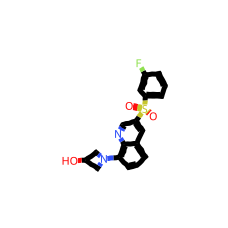 O=S(=O)(c1cccc(F)c1)c1cnc2c(N3CC(O)C3)cccc2c1